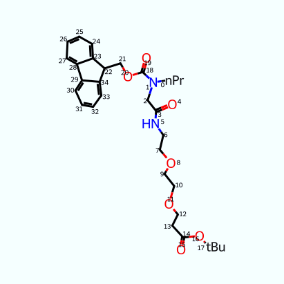 CCCN(CC(=O)NCCOCCOCCC(=O)OC(C)(C)C)C(=O)OCC1c2ccccc2-c2ccccc21